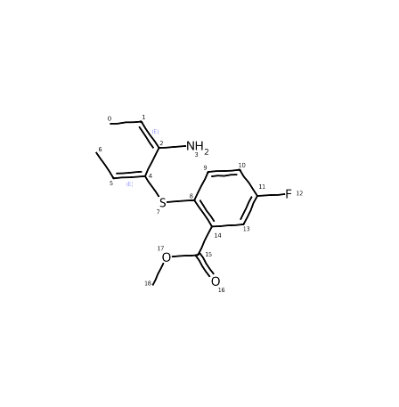 C/C=C(N)\C(=C/C)Sc1ccc(F)cc1C(=O)OC